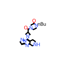 CCCCN1CCN(C(=O)C2CN(c3c4c(nc5ccnn35)CNCC4)C2)CC1=O